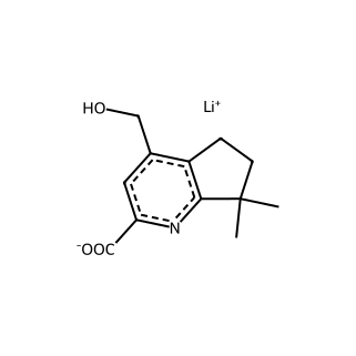 CC1(C)CCc2c(CO)cc(C(=O)[O-])nc21.[Li+]